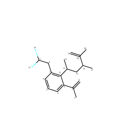 C=C(C)c1cccc(CC(F)F)c1C(C)CC(C)C(=C)C